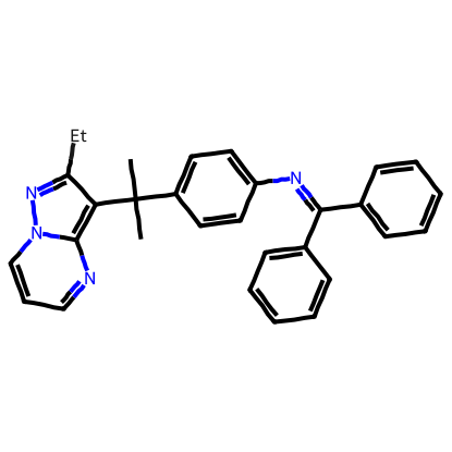 CCc1nn2cccnc2c1C(C)(C)c1ccc(N=C(c2ccccc2)c2ccccc2)cc1